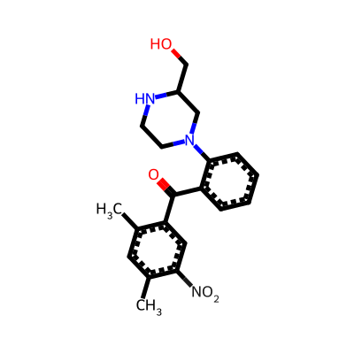 Cc1cc(C)c([N+](=O)[O-])cc1C(=O)c1ccccc1N1CCNC(CO)C1